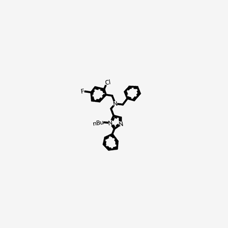 CCCCn1c(CN(Cc2ccccc2)Cc2ccc(F)cc2Cl)cnc1-c1ccccc1